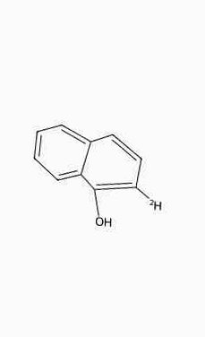 [2H]c1ccc2ccccc2c1O